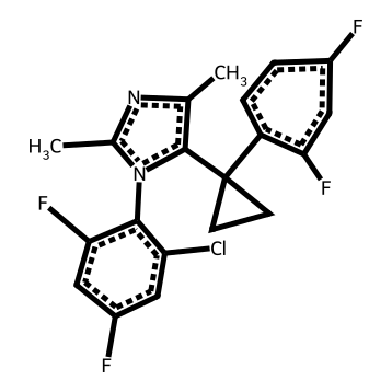 Cc1nc(C)n(-c2c(F)cc(F)cc2Cl)c1C1(c2ccc(F)cc2F)CC1